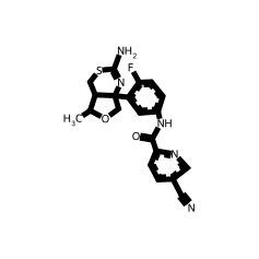 CC1OCC2(c3cc(NC(=O)c4ccc(C#N)cn4)ccc3F)N=C(N)SCC12